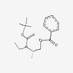 CCN(C(=O)OC(C)(C)C)[C@@H](C)COC(=O)c1ccccc1